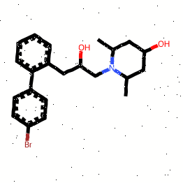 CC1CC(O)CC(C)N1CC(O)Cc1ccccc1-c1ccc(Br)cc1